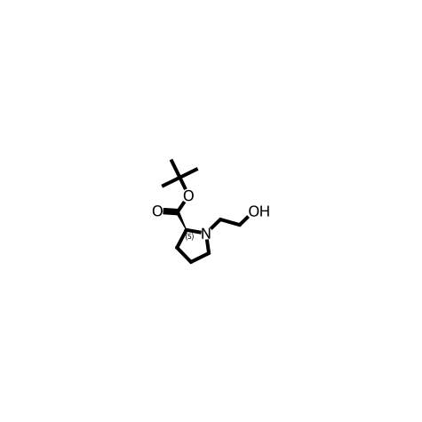 CC(C)(C)OC(=O)[C@@H]1CCCN1CCO